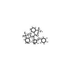 O=C(c1cnccc1C(F)(F)F)N(C(=O)c1cnccc1C(F)(F)F)c1oncc1Oc1ccccc1